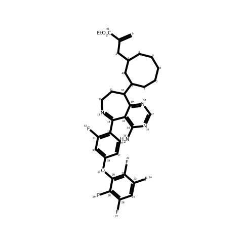 C=C(CC1CCCCCC(C2CCN=C(c3ccc(Oc4c(F)c(F)cc(F)c4F)cc3F)c3c(N)ncnc32)C1)C(=O)OCC